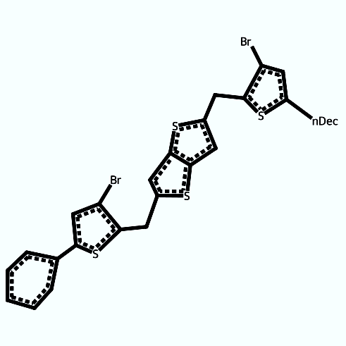 CCCCCCCCCCc1cc(Br)c(Cc2cc3sc(Cc4sc(-c5ccccc5)cc4Br)cc3s2)s1